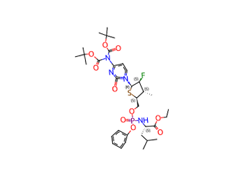 CCOC(=O)[C@H](CC(C)C)NP(=O)(OC[C@H]1S[C@@H](n2ccc(N(C(=O)OC(C)(C)C)C(=O)OC(C)(C)C)nc2=O)[C@@H](F)[C@@H]1C)Oc1ccccc1